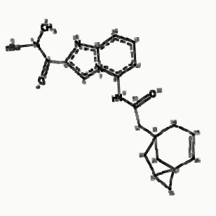 CCCCN(C)C(=O)c1cn2c(NC(=O)CC34CC=CC5(CC5C3)C4)cccc2n1